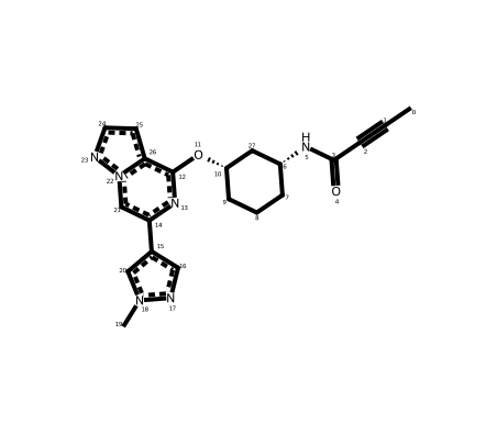 CC#CC(=O)N[C@@H]1CCC[C@H](Oc2nc(-c3cnn(C)c3)cn3nccc23)C1